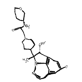 CC1(C2CCN(C(=O)N[C@H]3CCOC3)CC2)[C@H](O)c2cc(Cl)cc3cnn1c23